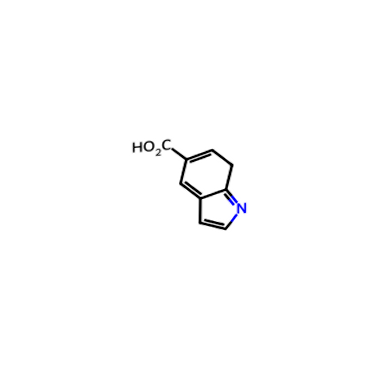 O=C(O)C1=CCC2=NC=CC2=C1